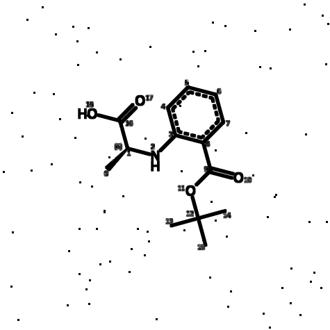 C[C@H](Nc1ccccc1C(=O)OC(C)(C)C)C(=O)O